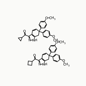 COc1ccc(C2(c3ccc(OC)cc3)C=Cc3c(C(=O)C4CC4)n[nH]c3C2)cc1.COc1ccc(C2(c3ccc(OC)cc3)C=Cc3c(C(=O)C4CCC4)n[nH]c3C2)cc1